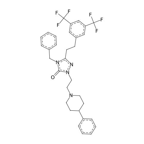 O=c1n(CCN2CCC(c3ccccc3)CC2)nc(CCc2cc(C(F)(F)F)cc(C(F)(F)F)c2)n1Cc1ccccc1